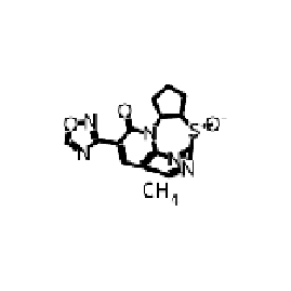 C.O=c1c(-c2ncon2)cc2cnc3nc2n1C1CCCC1[S+]3[O-]